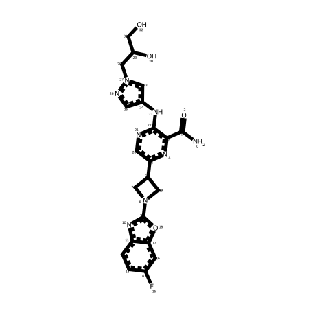 NC(=O)c1nc(C2CN(c3nc4ccc(F)cc4o3)C2)cnc1Nc1cnn(CC(O)CO)c1